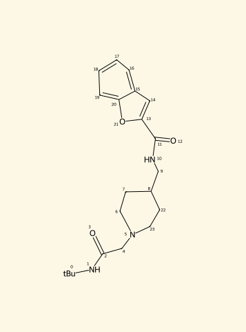 CC(C)(C)NC(=O)CN1CCC(CNC(=O)c2cc3ccccc3o2)CC1